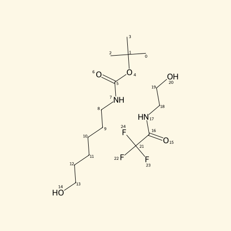 CC(C)(C)OC(=O)NCCCCCCO.O=C(NCCO)C(F)(F)F